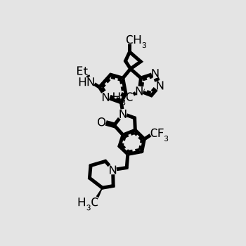 CCNc1cc(C2(c3nncn3C)CC(C)C2)cc(N2Cc3c(cc(CN4CCC[C@H](C)C4)cc3C(F)(F)F)C2=O)n1